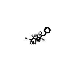 CC(=O)C(O)[C@@H](O)[C@](O)(C(C)=O)[C@@](O)(C(C)=O)[C@](O)(C(C)=O)C(=O)Cc1ccccc1